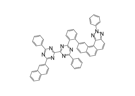 c1ccc(-c2nc(-c3ccc4ccccc4c3)nc(-c3nc(-c4ccccc4)nc(-c4ccccc4-c4ccc5ccc6ccc7nn(-c8ccccc8)nc7c6c5c4)n3)n2)cc1